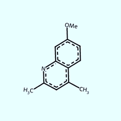 COc1ccc2c(C)cc(C)nc2c1